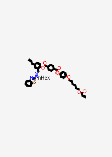 C=CCc1ccc(OC(=O)C2CCC(C(=O)Oc3ccc(OCCCCCCOC(=O)C=C)cc3)CC2)c(/C=N/N(CCCCCC)c2nc3ccccc3s2)c1